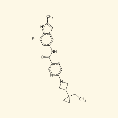 CCC1(C2CN(c3cnc(C(=O)Nc4cc(F)c5nc(C)cn5c4)cn3)C2)CC1